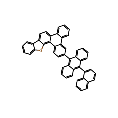 c1ccc2c(-c3c4ccccc4c(-c4ccc5c(c4)c4ccccc4c4ccc6c7ccccc7sc6c45)c4ccccc34)cccc2c1